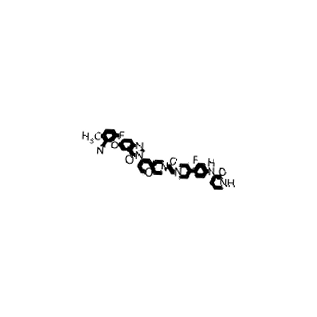 Cc1ccc(F)c(Oc2ccc3ncn(C4CCOC5(CCN(C(=O)CN6CCC(c7ccc(NC8CCCNC8=O)cc7F)CC6)CC5)C4)c(=O)c3c2)c1C#N